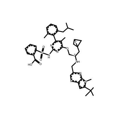 Cc1cccc(CC(C)C)c1-c1nc(NS(=O)(=O)c2ccccc2C(=O)O)nc(OC[C@@H](CC23CC(C2)C3)NCc2cnc3cc(C(C)(C)C)n(C)c3n2)c1C